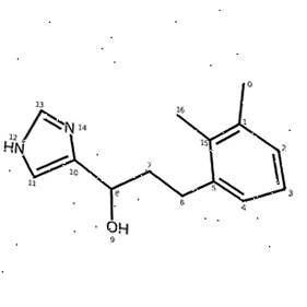 Cc1cccc(CCC(O)c2c[nH]cn2)c1C